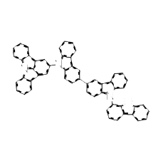 c1ccc2c(c1)oc1c(-n3c4ccccc4c4cc(-c5ccc6c(c5)c5ccccc5n6-c5cc6c7ccccc7n7c8ccccc8c(c5)c67)ccc43)cccc12